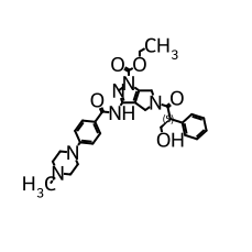 CCOC(=O)n1nc(NC(=O)c2ccc(N3CCN(C)CC3)cc2)c2c1CN(C(=O)[C@H](CO)c1ccccc1)C2